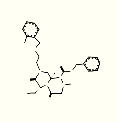 CN1CC(=O)N2[C@@H](CC(=O)O)C(=O)N(CCOCc3ccccc3F)C[C@@H]2N1C(=O)NCc1ccccc1